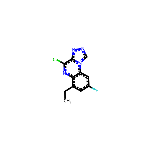 CCc1cc(F)cc2c1nc(Cl)c1nncn12